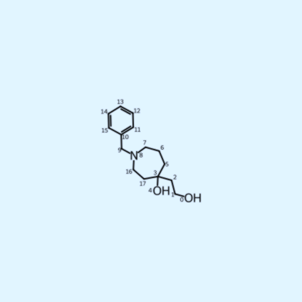 OCCC1(O)CCCN(Cc2ccccc2)CC1